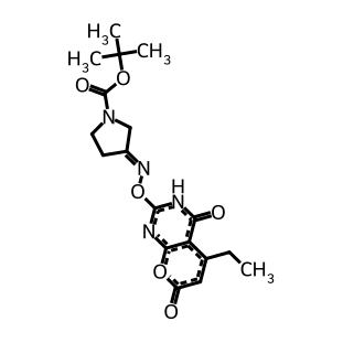 CCc1cc(=O)oc2nc(O/N=C3\CCN(C(=O)OC(C)(C)C)C3)[nH]c(=O)c12